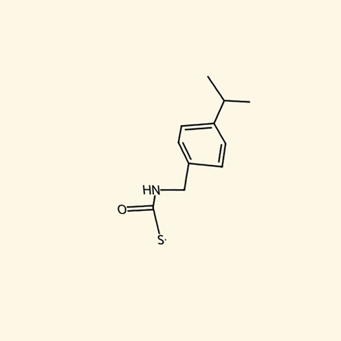 CC(C)c1ccc(CNC(=O)[S])cc1